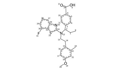 CCC(c1ccc(C(=O)O)cc1)N(CCc1ccc(OC)cc1C)c1nc2cccc(F)c2s1